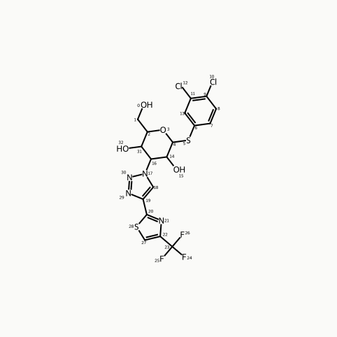 OCC1OC(Sc2ccc(Cl)c(Cl)c2)C(O)C(n2cc(-c3nc(C(F)(F)F)cs3)nn2)C1O